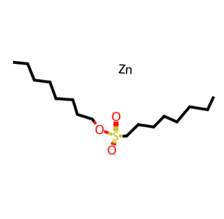 CCCCCCCCOS(=O)(=O)CCCCCCCC.[Zn]